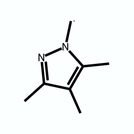 [CH2]n1nc(C)c(C)c1C